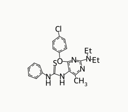 CCN(CC)c1nc(C)c(NC(=S)Nc2ccccc2)c(Oc2ccc(Cl)cc2)n1